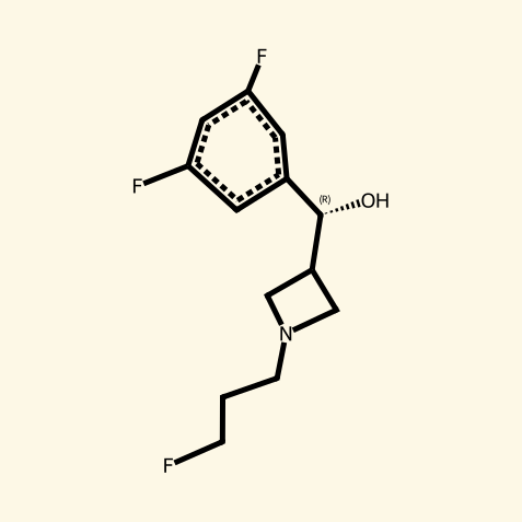 O[C@@H](c1cc(F)cc(F)c1)C1CN(CCCF)C1